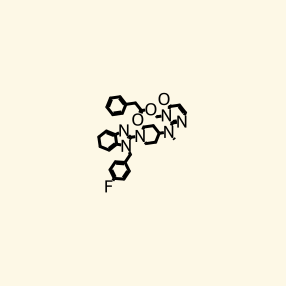 CN(c1nccc(=O)n1COC(=O)Cc1ccccc1)C1CCN(c2nc3c(n2Cc2ccc(F)cc2)=CCCC=3)CC1